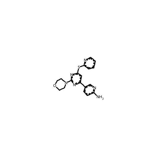 Nc1ccc(-c2cc(Sc3ccccn3)nc(N3CCOCC3)n2)cn1